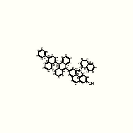 N#Cc1cc2ccc3cc(-c4c5ccccc5c(-c5ccc(-c6ccccc6)c6ccccc56)c5ccccc45)cc4c3c2c(c1)n4-c1cccc2ccccc12